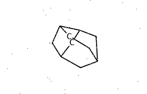 [CH]1C2CC3CCC1C(C2)C3